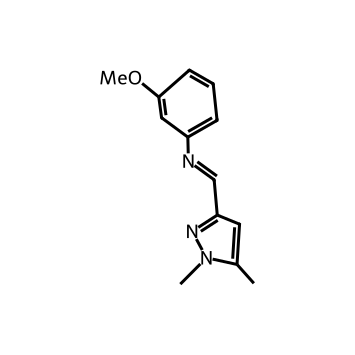 COc1cccc(/N=C/c2cc(C)n(C)n2)c1